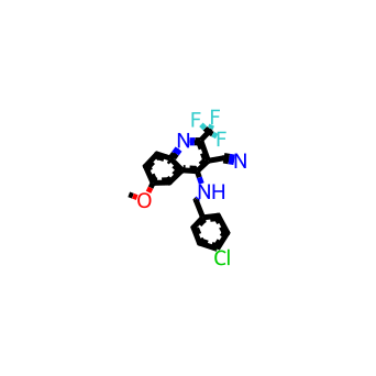 COc1ccc2nc(C(F)(F)F)c(C#N)c(NCc3ccc(Cl)cc3)c2c1